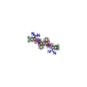 N#CC(C#N)=C1/C(=C/c2nc3c(s2)-c2cc4c(cc2C2(CCCCC2)O3)-c2sc(/C=C3\C(=O)c5cc(F)c(F)cc5C3=C(C#N)C#N)nc2OC42CCCCC2)C(=O)c2cc(F)c(F)cc21